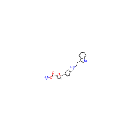 NOC(=O)c1ccc(-c2ccc(CNCCc3c[nH]c4ccccc34)cc2)o1